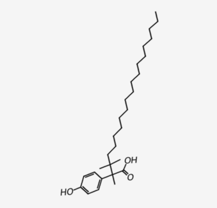 CCCCCCCCCCCCCCCCCC(C)(C)C(C)(C(=O)O)c1ccc(O)cc1